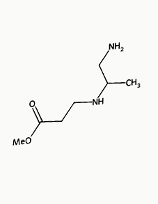 COC(=O)CCNC(C)CN